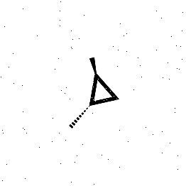 C[C@H]1C[C@@H]1C